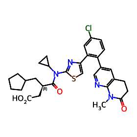 CN1C(=O)CCc2cc(-c3ccc(Cl)cc3-c3csc(N(C(=O)[C@@H](CC(=O)O)CC4CCCC4)C4CC4)n3)cnc21